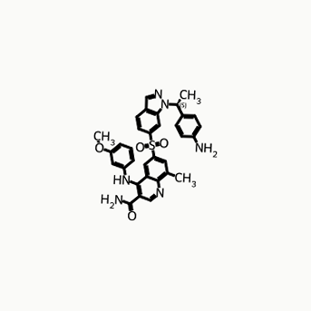 COc1cccc(Nc2c(C(N)=O)cnc3c(C)cc(S(=O)(=O)c4ccc5cnn([C@@H](C)c6ccc(N)cc6)c5c4)cc23)c1